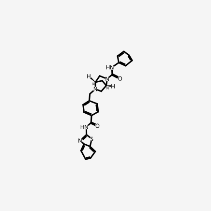 O=C(Nc1nc2ccccc2s1)c1ccc(CN2C[C@@H]3C[C@H]2CN3C(=O)Nc2ccccc2)cc1